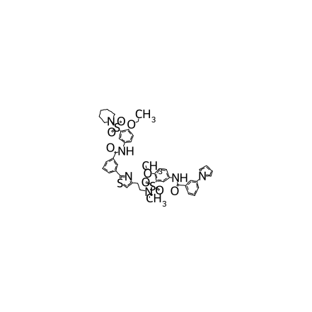 CCOc1ccc(NC(=O)c2cccc(-c3nc(CCN(C)S(=O)(=O)c4cc(NC(=O)c5cccc(-n6cccc6)c5)ccc4OC)cs3)c2)cc1S(=O)(=O)N1CCCCC1